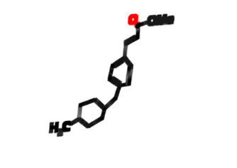 COC(=O)/C=C/c1ccc(CC2CCC(C)CC2)cc1